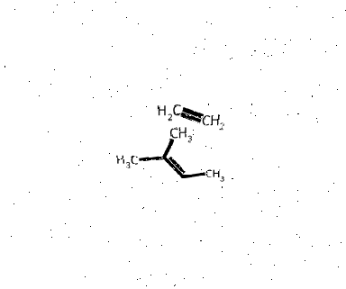 C=C.CC=C(C)C